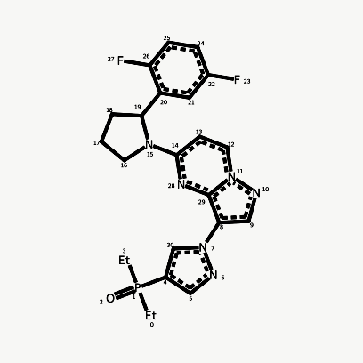 CCP(=O)(CC)c1cnn(-c2cnn3ccc(N4CCCC4c4cc(F)ccc4F)nc23)c1